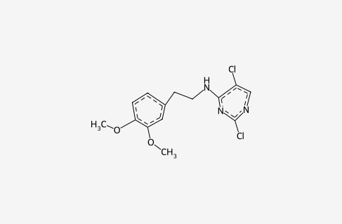 COc1ccc(CCNc2nc(Cl)ncc2Cl)cc1OC